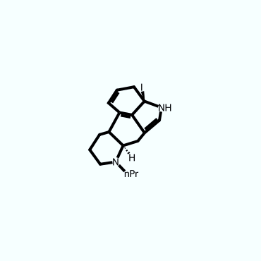 CCCN1CCCC2C3=C4C(=CN[C@@]4(I)CC=C3)C[C@H]21